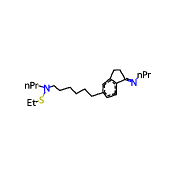 CCC/N=C1\CCc2cc(CCCCCCN(CCC)SCC)ccc21